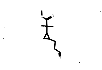 COC(=O)C(C)(C)C1CC1CCC=O